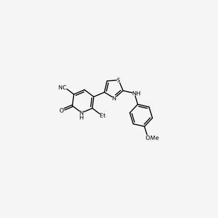 CCc1[nH]c(=O)c(C#N)cc1-c1csc(Nc2ccc(OC)cc2)n1